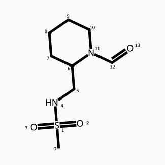 CS(=O)(=O)NCC1CCCCN1C=O